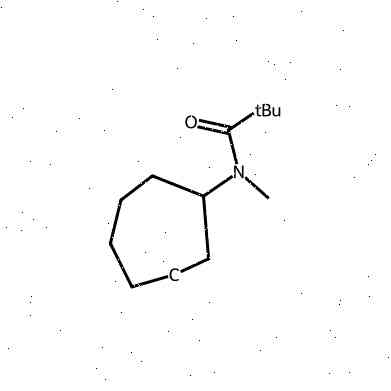 CN(C(=O)C(C)(C)C)C1CCCCCC1